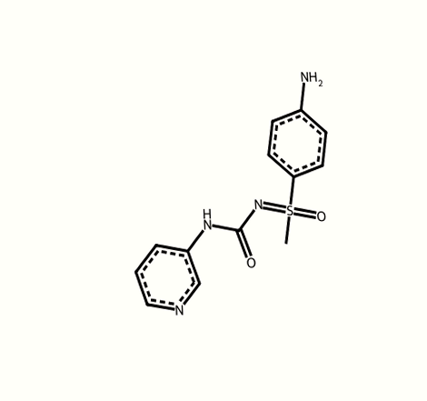 CS(=O)(=NC(=O)Nc1cccnc1)c1ccc(N)cc1